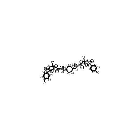 Cc1ccc(S(=O)(=O)CC(C)(C)OC(=O)NCC2CCC(CNC(=O)OC(C)(C)CS(=O)(=O)c3ccc(C)cc3)CC2)cc1